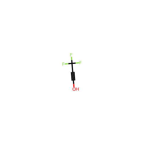 OC#CC(F)(F)F